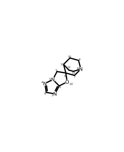 c1nc2n(n1)CC1(CN3CCC1CC3)O2